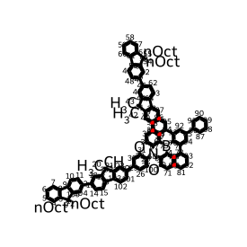 CCCCCCCCC1(CCCCCCCC)c2ccccc2-c2ccc(-c3ccc4c(c3)C(C)(C)c3cc(-c5cc6c7c(c5)Oc5cc(-c8ccc9c(c8)C(C)(C)c8cc(-c%10ccc%11c(c%10)C(CCCCCCCC)(CCCCCCCC)c%10ccccc%10-%11)ccc8-9)cc8c5N7c5c(cccc5B8c5c(-c7ccccc7)cc(-c7ccccc7)cc5-c5ccccc5)O6)ccc3-4)cc21